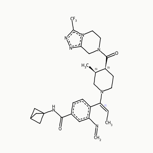 C=Nc1cc(C(=O)NC23CC(C2)C3)ccc1/C(=C\C)N1CC[C@H](C(=O)N2CCn3c(nnc3C(F)(F)F)C2)[C@H](C)C1